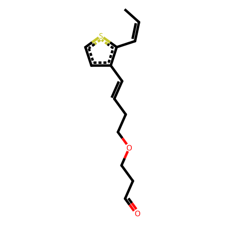 C/C=C\c1sccc1/C=C/CCOCCC=O